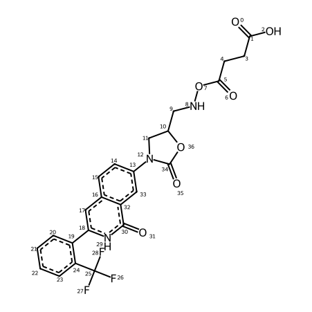 O=C(O)CCC(=O)ONCC1CN(c2ccc3cc(-c4ccccc4C(F)(F)F)[nH]c(=O)c3c2)C(=O)O1